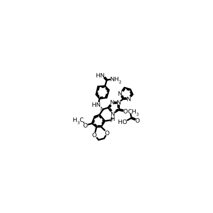 CC(=O)O.COc1cc([C@H](Nc2ccc(C(=N)N)cc2)c2nn(-c3ncccn3)c(=O)[nH]2)c(F)c2c1OCCO2